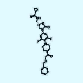 O=C(COCc1ccccc1)N1CCN(c2c(F)cc(N3C[C@H](CNC(=S)C4CC4)OC3=O)cc2F)CC1